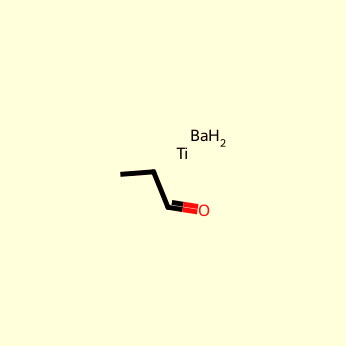 CCC=O.[BaH2].[Ti]